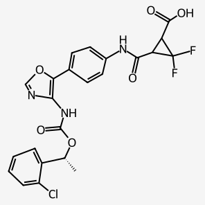 C[C@@H](OC(=O)Nc1ncoc1-c1ccc(NC(=O)C2C(C(=O)O)C2(F)F)cc1)c1ccccc1Cl